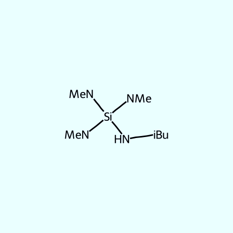 CCC(C)N[Si](NC)(NC)NC